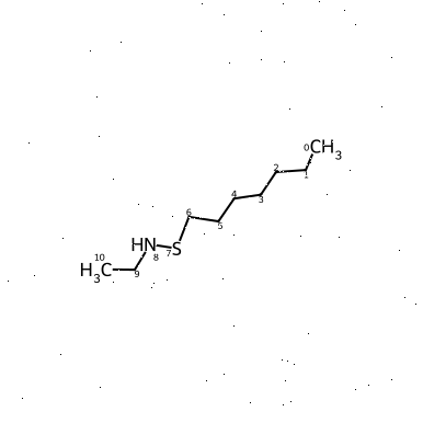 CCCCCCCSNCC